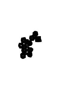 c1ccc(-n2c3ccccc3c3cccc(-c4ccccc4N(c4ccc(-c5ccc6c(c5)C5(c7ccccc7-6)C6CC7CC8CC5C786)cc4)c4ccccc4-c4cccc5cccc(C6CCCCC6)c45)c32)cc1